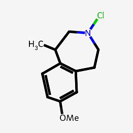 COc1ccc2c(c1)CCN(Cl)CC2C